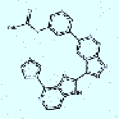 CCCCC(=O)Nc1cncc(-c2cc3c(-c4nc5c(-c6ccsc6)nccc5[nH]4)n[nH]c3cn2)c1